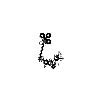 N#Cc1ncc(N2C(=O)N(Cc3ccc(-c4noc(CCCCCCC(=O)NOC(c5ccccc5)(c5ccccc5)c5ccccc5)n4)cc3F)C3(CCC3)C2=O)cc1C(F)(F)F